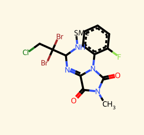 CSNC(/N=C1/C(=O)N(C)C(=O)N1c1ccccc1F)C(Br)(Br)CCl